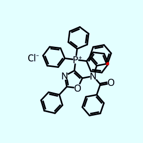 O=C(c1ccccc1)N(c1ccccc1)c1oc(-c2ccccc2)nc1[P+](c1ccccc1)(c1ccccc1)c1ccccc1.[Cl-]